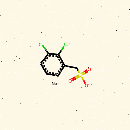 O=S(=O)([O-])Cc1cccc(Cl)c1Cl.[Na+]